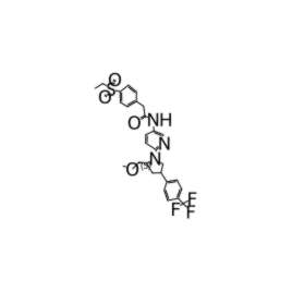 CCS(=O)(=O)c1ccc(CC(=O)Nc2ccc(N3CC(c4ccc(C(F)(F)F)cc4)C[C@H]3COC)nc2)cc1